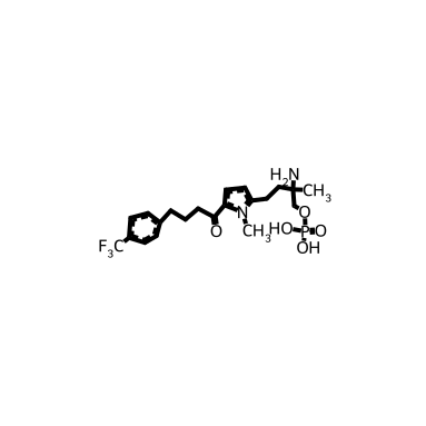 Cn1c(CCC(C)(N)COP(=O)(O)O)ccc1C(=O)CCCc1ccc(C(F)(F)F)cc1